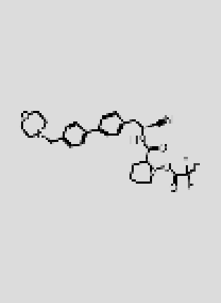 N#C[C@H](Cc1ccc(-c2ccc(CN3CCOCC3)cc2)cc1)NC(=O)[C@@H]1CCCCN1OC(=O)C(F)(F)F